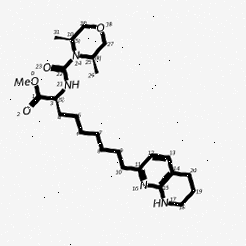 COC(=O)[C@H](CCCCCCCc1ccc2c(n1)NCCC2)NC(=O)N1[C@H](C)COC[C@@H]1C